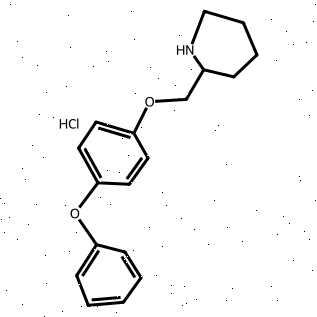 Cl.c1ccc(Oc2ccc(OCC3CCCCN3)cc2)cc1